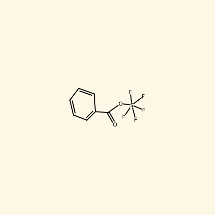 O=C(OS(F)(F)(F)(F)F)c1ccccc1